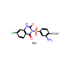 Nc1cc(S(=O)(=O)n2c(=O)[nH]c3cc(Cl)ccc3c2=O)ccc1C(=O)[O-].[Na+]